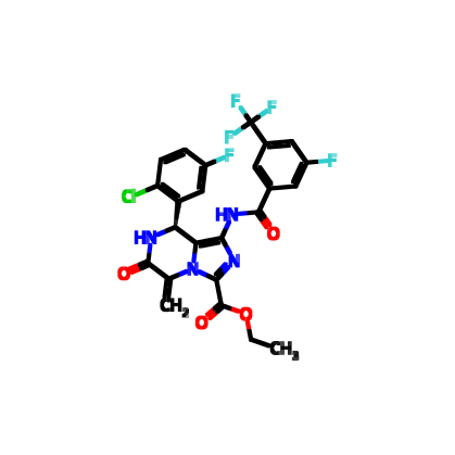 C=C1C(=O)N[C@@H](c2cc(F)ccc2Cl)c2c(NC(=O)c3cc(F)cc(C(F)(F)F)c3)nc(C(=O)OCC)n21